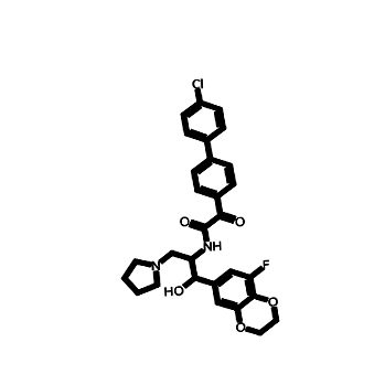 O=C(NC(CN1CCCC1)C(O)c1cc(F)c2c(c1)OCCO2)C(=O)c1ccc(-c2ccc(Cl)cc2)cc1